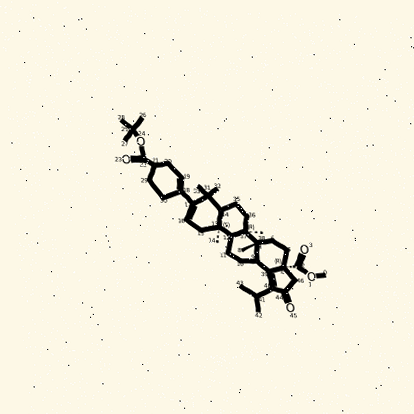 COC(=O)[C@@]12CC[C@]3(C)C(CCC4[C@@]5(C)CC=C(C6=CCC(C(=O)OC(C)(C)C)CC6)C(C)(C)C5CC[C@]43C)C1=C(C(C)C)C(=O)C2